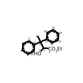 CCOC(=O)C(O)C(C)(c1ccccc1)c1ccccc1